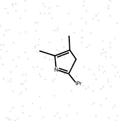 CC1=C(C)N=C(C(C)C)C1